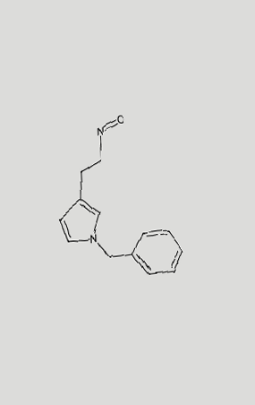 O=NCCc1ccn(Cc2ccccc2)c1